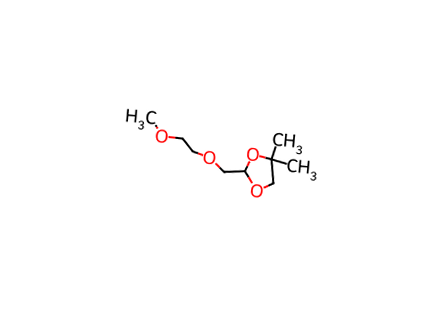 COCCOCC1OCC(C)(C)O1